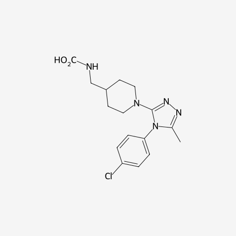 Cc1nnc(N2CCC(CNC(=O)O)CC2)n1-c1ccc(Cl)cc1